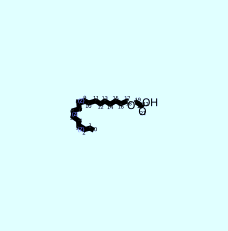 CC/C=C\C/C=C\C/C=C\CCCCCCCCOCC(=O)O